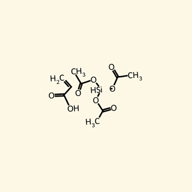 C=CC(=O)O.CC(=O)O[SiH](OC(C)=O)OC(C)=O